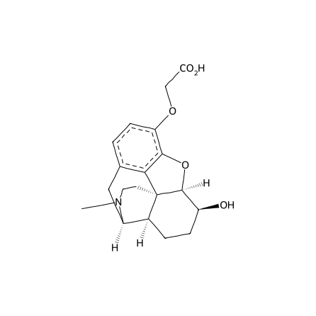 CN1CC[C@]23c4c5ccc(OCC(=O)O)c4O[C@H]2[C@@H](O)CC[C@H]3[C@H]1C5